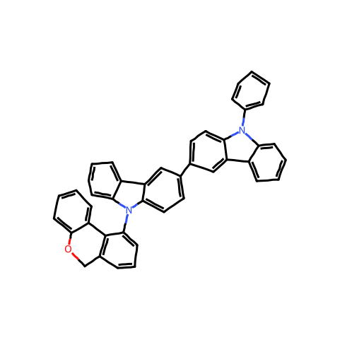 c1ccc(-n2c3ccccc3c3cc(-c4ccc5c(c4)c4ccccc4n5-c4cccc5c4-c4ccccc4OC5)ccc32)cc1